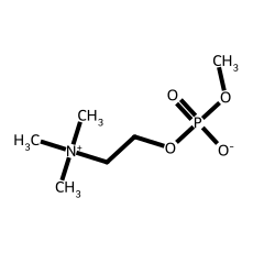 COP(=O)([O-])OCC[N+](C)(C)C